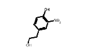 O=[N+]([O-])c1cc(CCO)ccc1O